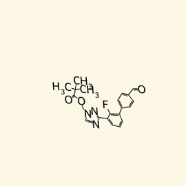 CC(C)(C)C(=O)OCn1cnc(-c2cccc(-c3ccc(C=O)cc3)c2F)n1